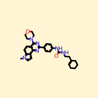 Cn1ccc2c3nc(-c4ccc(NC(=O)NCCC5=CCCCC5)cc4)nc(N4CCOCC4)c3ccc21